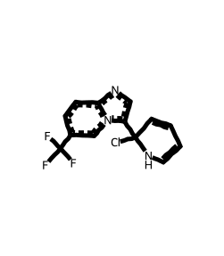 FC(F)(F)c1ccc2ncc(C3(Cl)C=CC=CN3)n2c1